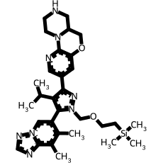 Cc1c(-c2c(C(C)C)c(-c3cnc4c(c3)OCC3CNCCN43)nn2COCC[Si](C)(C)C)cn2ncnc2c1C